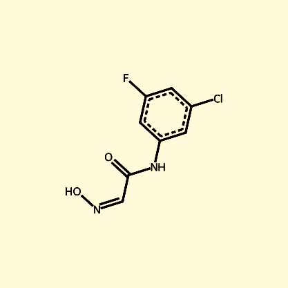 O=C(/C=N\O)Nc1cc(F)cc(Cl)c1